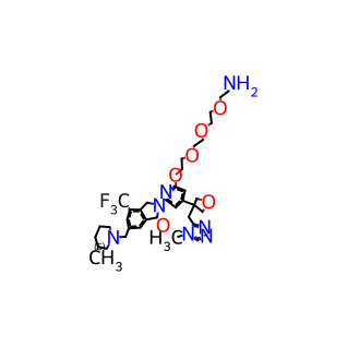 C[C@H]1CCCN(Cc2cc3c(c(C(F)(F)F)c2)CN(c2cc(C4(Cc5nncn5C)COC4)cc(OCCOCCOCCOCCN)n2)C3=O)C1